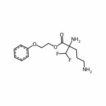 NCCCC(N)(C(=O)OCCOc1ccccc1)C(F)F